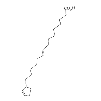 O=C(O)CCCCCCCC=CCCCCCC1C=CCC1